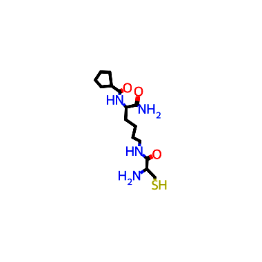 NC(=O)C(CCCCNC(=O)C(N)CS)NC(=O)C1CCCC1